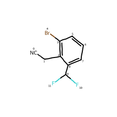 N#CCc1c(Br)cccc1C(F)F